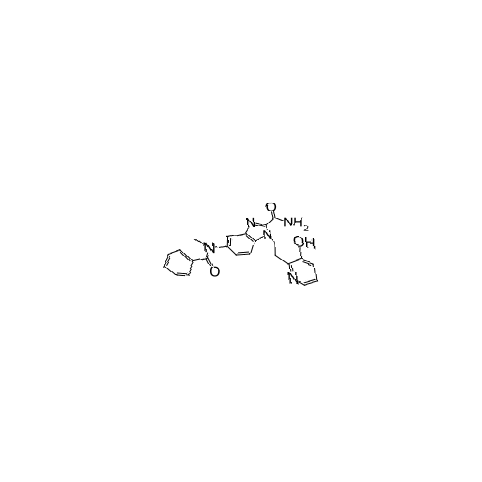 CN(C(=O)c1ccccc1)c1ccc2c(c1)nc(C(N)=O)n2CCc1ncccc1O